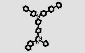 c1ccc(-c2ccc(-c3ccc(N(c4ccc(-c5ccccc5)cc4)c4ccc(-c5ccc(-c6cc(-c7ccc8ccccc8c7)nc(-c7ccccc7)n6)cc5)cc4)cc3)cc2)cc1